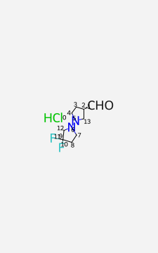 Cl.O=C[C@@H]1CCN(N2CCC(F)(F)C2)C1